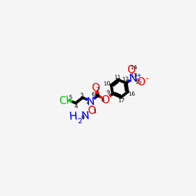 NON(CCCl)C(=O)Oc1ccc([N+](=O)[O-])cc1